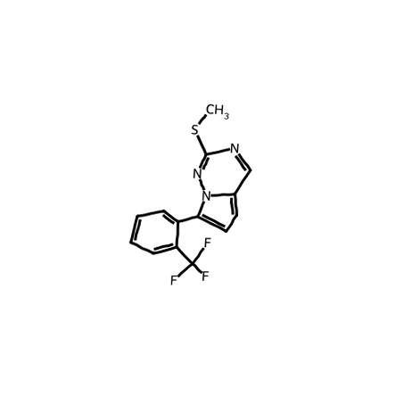 CSc1ncc2ccc(-c3ccccc3C(F)(F)F)n2n1